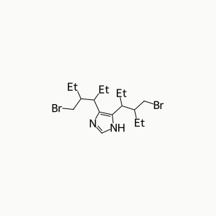 CCC(CBr)C(CC)c1nc[nH]c1C(CC)C(CC)CBr